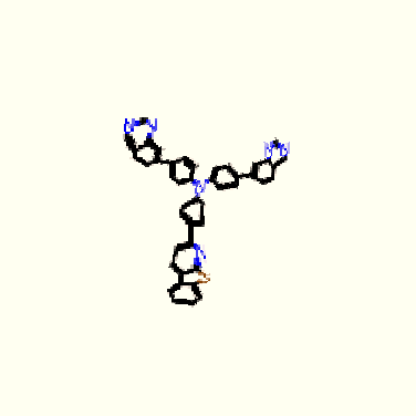 c1ccc2c(c1)sc1nc(-c3ccc(N(c4ccc(-c5ccc6cncnc6c5)cc4)c4ccc(-c5ccc6cncnc6c5)cc4)cc3)ccc12